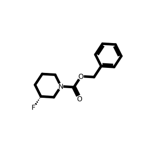 O=C(OCc1ccccc1)N1CCC[C@@H](F)C1